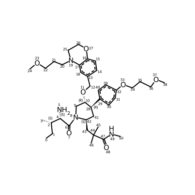 CC[C@H](C)[C@H](N)C(=O)N1C[C@H](OCc2ccc3c(c2)N(CCCOC)CCO3)[C@@H](c2ccc(OCCCOC)cc2)C[C@H]1CC(C)(C)C(=O)NC